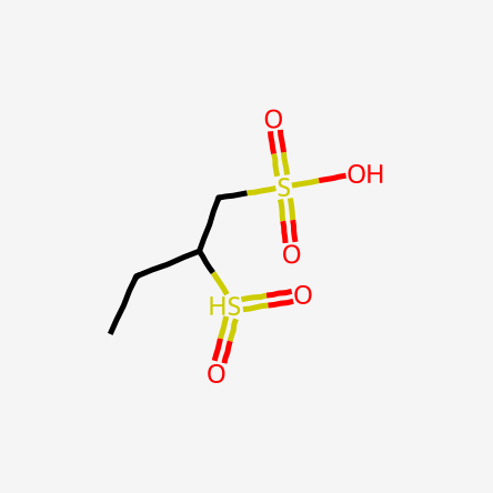 CCC(CS(=O)(=O)O)[SH](=O)=O